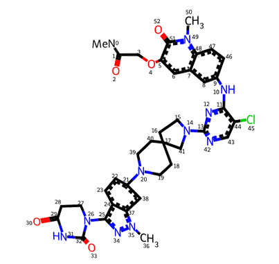 CNC(=O)COc1cc2cc(Nc3nc(N4CCC5(CCN(c6ccc7c(N8CCC(=O)NC8=O)nn(C)c7c6)CC5)C4)ncc3Cl)ccc2n(C)c1=O